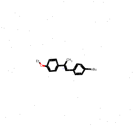 CCCCc1ccc(/C=C(\C)c2ccc(OCC)cc2)cc1